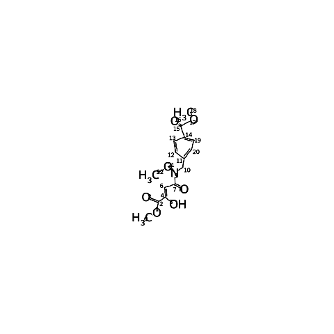 COC(=O)C(O)=CC(=O)N(Cc1ccc(C(=O)OC)cc1)OC